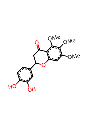 COc1cc2c(c(OC)c1OC)C(=O)CC(c1ccc(O)c(O)c1)O2